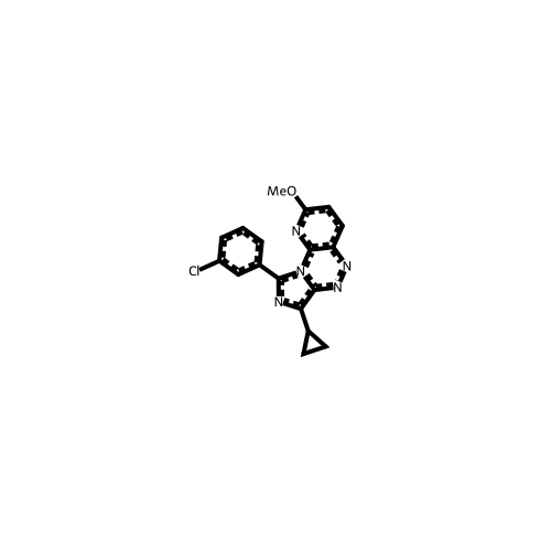 COc1ccc2nnc3c(C4CC4)nc(-c4cccc(Cl)c4)n3c2n1